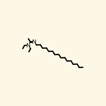 CCCCCCCCCCCCCCCCN=C(C)N(CC)CC